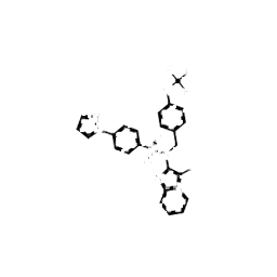 O=S(=O)(c1ccc(-n2cccn2)cc1)N(Cc1ccc(OC(F)(F)F)cc1)c1nc2ccccn2c1Cl